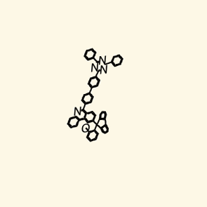 c1ccc(-c2nc(-c3ccccc3)nc(-c3ccc(-c4ccc(-c5nc6ccccc6c6c7c(ccc56)C5(c6ccccc6O7)c6ccccc6-c6ccccc65)cc4)cc3)n2)cc1